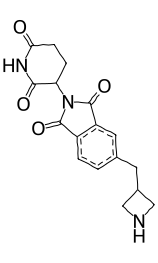 O=C1CCC(N2C(=O)c3ccc(CC4CNC4)cc3C2=O)C(=O)N1